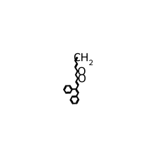 C=C/C=C/C(=O)CC(=O)/C=C/C(=C/c1ccccc1)c1ccccc1